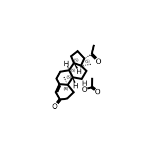 CC(=O)O.CC(=O)[C@H]1CC[C@H]2[C@@H]3CCC4=CC(=O)CC[C@]4(C)[C@H]3CC[C@]12C